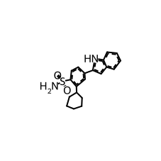 NS(=O)(=O)c1ccc(-c2cc3ccccc3[nH]2)cc1C1CCCCC1